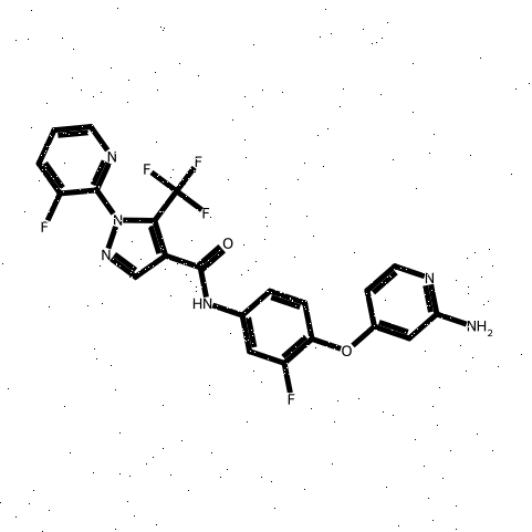 Nc1cc(Oc2ccc(NC(=O)c3cnn(-c4ncccc4F)c3C(F)(F)F)cc2F)ccn1